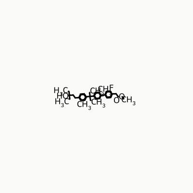 CCC(O)(CC)CCc1ccc(C(CC)(CC)c2ccc(-c3ccc(CC(=O)OC)c(F)c3)c(C)c2)cc1C